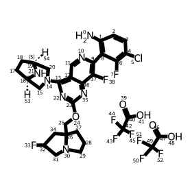 Nc1ccc(Cl)c(F)c1-c1ncc2c(N3C[C@H]4CC[C@@H](C3)N4)nc(OCC34CCCN3CC(F)C4)nc2c1F.O=C(O)C(F)(F)F.O=C(O)C(F)(F)F